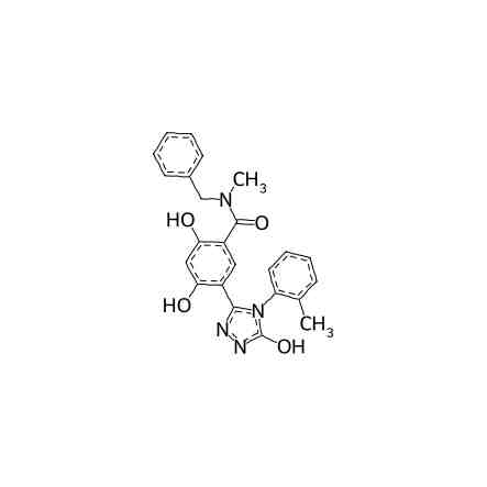 Cc1ccccc1-n1c(O)nnc1-c1cc(C(=O)N(C)Cc2ccccc2)c(O)cc1O